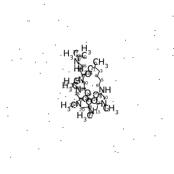 CC(C)CCCCNC(=O)CN(C)C(=O)CN(C)C(=O)CN(C)C(=O)CN(C)C(=O)CN(C)C(=O)CCNC(C)C